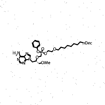 CCCCCCCCCCCCCCCCCCOCCOP(=O)(CO[C@H](COC)Cn1cnc2c(N)ncnc21)Oc1ccccc1